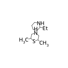 CC1CNCC(C)S1.CCC1CCCCN1